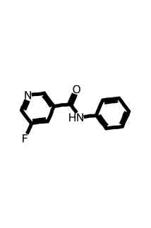 O=C(Nc1ccccc1)c1cncc(F)c1